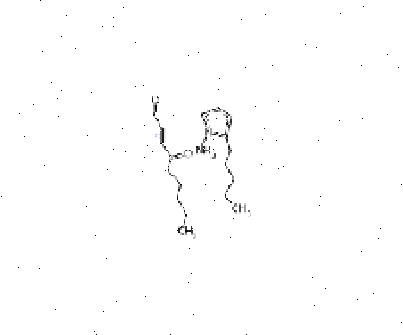 CCCCCC(=O)/C=C/C=O.CCCCCc1cccn1N